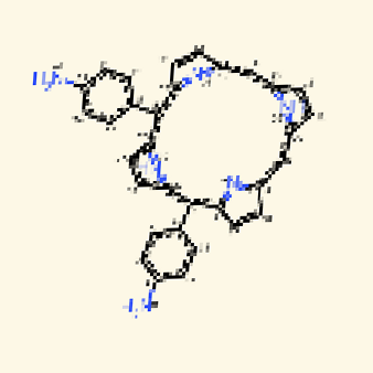 Nc1ccc(-c2c3nc(cc4ccc(cc5nc(c(-c6ccc(N)cc6)c6ccc2[nH]6)C=C5)[nH]4)C=C3)cc1